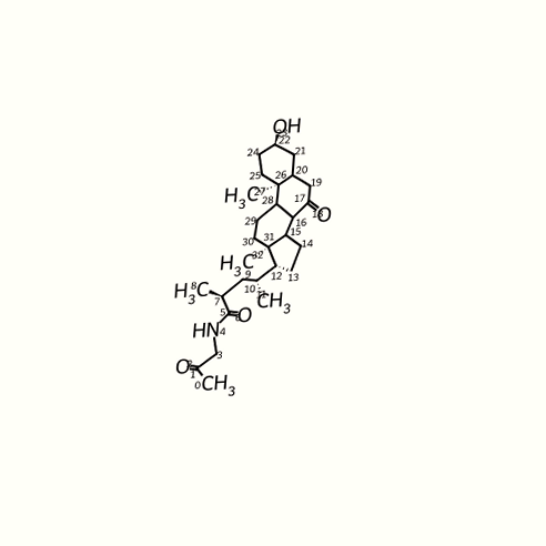 CC(=O)CNC(=O)[C@@H](C)C[C@@H](C)[C@H]1CCC2C3C(=O)CC4C[C@H](O)CC[C@]4(C)C3CC[C@@]21C